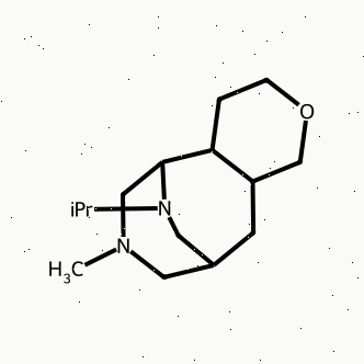 CC(C)N1CC2CC3COCCC3C1CN(C)C2